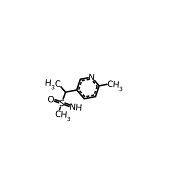 Cc1ccc(C(C)S(C)(=N)=O)cn1